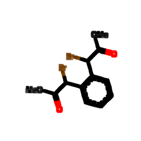 COC(=O)C(Br)c1ccccc1C(Br)C(=O)OC